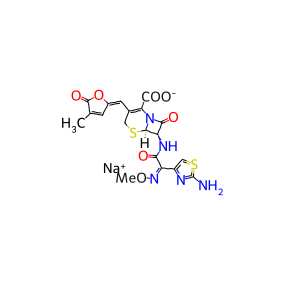 CO/N=C(\C(=O)N[C@@H]1C(=O)N2C(C(=O)[O-])=C(/C=C3\C=C(C)C(=O)O3)CS[C@H]12)c1csc(N)n1.[Na+]